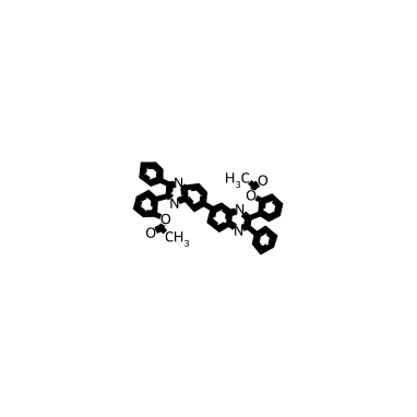 CC(=O)Oc1ccccc1-c1nc2cc(-c3ccc4nc(-c5ccccc5)c(-c5ccccc5OC(C)=O)nc4c3)ccc2nc1-c1ccccc1